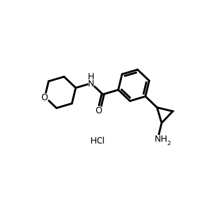 Cl.NC1CC1c1cccc(C(=O)NC2CCOCC2)c1